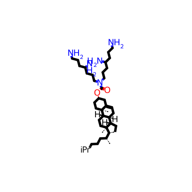 CC(C)CCC[C@@H](C)[C@H]1CC[C@H]2[C@@H]3CC=C4C[C@@H](OC(=O)N(CCCC(N)CCCN)CCCC(N)CCCN)CC[C@]4(C)[C@H]3CC[C@]12C